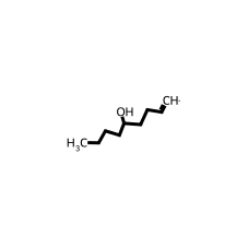 [CH]=CCCC(O)CCCC